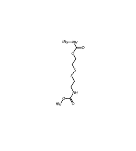 CC(C)(C)NC(=O)OCCSSCCNC(=O)OC(C)(C)C